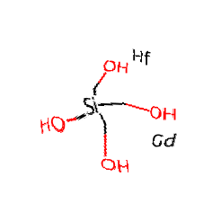 O[Si](O)(O)O.[Gd].[Hf]